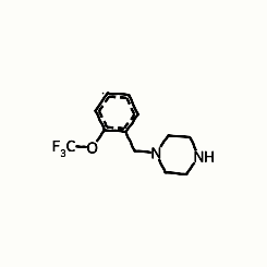 FC(F)(F)Oc1c[c]ccc1CN1CCNCC1